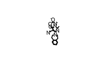 COC(=O)N(C)n1c(C)nc(N2CCc3ccccc3CC2)c(C#N)c1=O